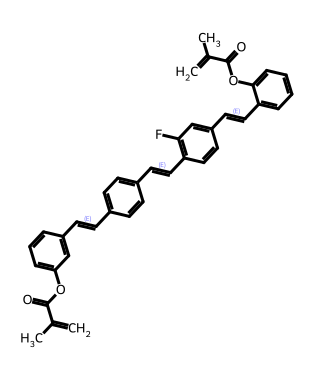 C=C(C)C(=O)Oc1cccc(/C=C/c2ccc(/C=C/c3ccc(/C=C/c4ccccc4OC(=O)C(=C)C)cc3F)cc2)c1